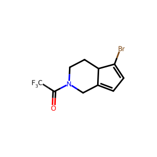 O=C(N1CCC2C(Br)=CC=C2C1)C(F)(F)F